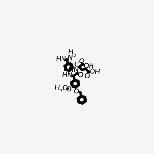 COc1cc(C(Nc2ccc(C(=N)N)cc2)C(=O)NC(C)(CCC(=O)O)C(=O)O)ccc1OCc1ccccc1